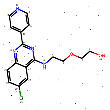 OCCOCCNc1nc(-c2ccncc2)nc2ccc(Cl)cc12